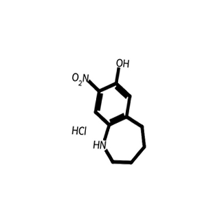 Cl.O=[N+]([O-])c1cc2c(cc1O)CCCCN2